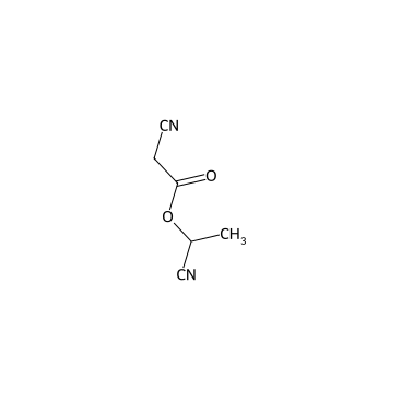 CC(C#N)OC(=O)CC#N